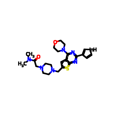 CN(C)C(=O)CN1CCN(Cc2cc3c(N4CCOCC4)nc(C4=[CH][InH][CH]=C4)nc3s2)CC1